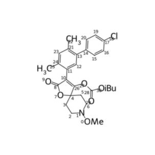 CON1CCC2(CC1)OC(=O)C(c1cc(-c3ccc(Cl)cc3)c(C)cc1C)=C2OC(=O)OCC(C)C